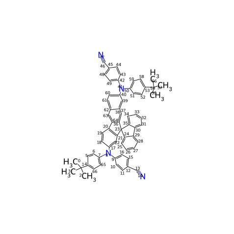 CC(C)(C)c1ccc(N(c2ccc(C#N)cc2)c2ccc3c(c2)C2(c4ccccc4-c4ccccc42)c2cc4cc(N(c5ccc(C#N)cc5)c5ccc(C(C)(C)C)cc5)ccc4cc2-3)cc1